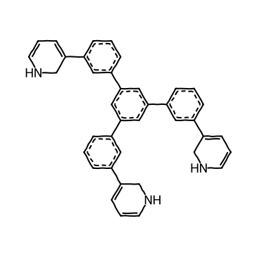 C1=CNCC(c2cccc(-c3cc(-c4cccc(C5=CC=CNC5)c4)cc(-c4cccc(C5=CC=CNC5)c4)c3)c2)=C1